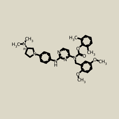 COc1ccc(OC)c(CN(C(=O)Oc2c(C)cccc2C)c2ccnc(Nc3ccc(N4CC[C@@H](N(C)C)C4)cc3)n2)c1